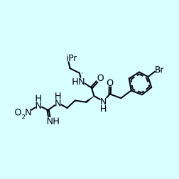 CC(C)C[CH]NC(=O)[C@H](CCCNC(=N)N[N+](=O)[O-])NC(=O)Cc1ccc(Br)cc1